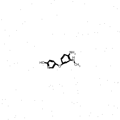 CNc1cc(Oc2ccc(O)nc2)ccc1N